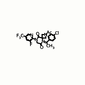 CC(=O)N1CC2(C1)C(=O)N(c1ncc(C(F)(F)F)cc1F)CC(=O)N2[C@@H](C)c1ccc(Cl)cc1